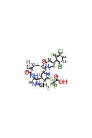 C[C@@H]1CCC[C@H](n2ccc(-c3c(Cl)ccc(Cl)c3F)cc2=O)c2cc(ccn2)-c2c(cnn2C)NC1=O.O=C(O)C(F)(F)F